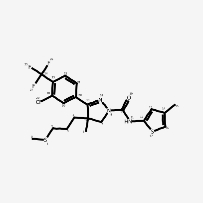 CSCCCC1(C)CN(C(=O)Nc2cc(C)cs2)N=C1c1ccc(C(F)(F)F)c(Cl)c1